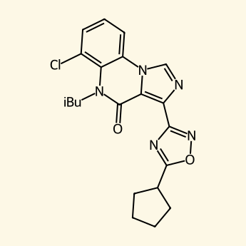 CCC(C)n1c(=O)c2c(-c3noc(C4CCCC4)n3)ncn2c2cccc(Cl)c21